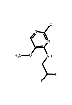 COc1cnc(Cl)nc1NCC(F)F